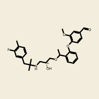 COc1cc(C=O)ccc1Oc1ccccc1C(C)OC[C@H](O)CNC(C)(C)Cc1ccc(C)c(F)c1